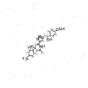 COc1ccc(C(O)Cn2cc([C@@H]3CC(O)(c4ccc(C(F)(F)F)cc4)C[C@H](C)N3)nn2)cc1